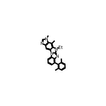 CCn1c2c(C)c3c(cc2n2c4cccc(-c5c(C)cccc5C)c4nc12)ncn3C